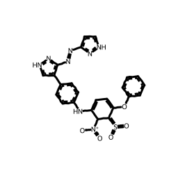 O=[N+]([O-])C1C(Nc2ccc(-c3c[nH]nc3N=Nc3cc[nH]n3)cc2)=CC=C(Oc2ccccc2)C1=S(=O)=O